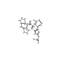 [CH2]c1cccc(-n2cc(CN(C)C)cn2)c1C(=O)Nc1c2c(cc3c1CCC3)CCC2